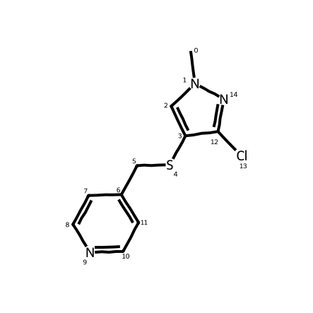 Cn1cc(SCc2ccncc2)c(Cl)n1